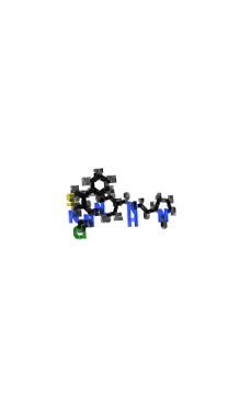 CN1CCCC1CCNCC1CCN(c2nc(Cl)nc3scc(-c4ccccc4)c23)CC1